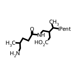 CCCC(C)C(C)C(CNC(=O)CCC(C)CN)CC(=O)O